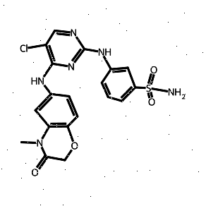 CN1C(=O)COc2ccc(Nc3nc(Nc4cccc(S(N)(=O)=O)c4)ncc3Cl)cc21